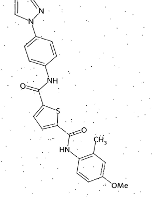 COc1ccc(NC(=O)c2ccc(C(=O)Nc3ccc(-n4cccn4)cc3)s2)c(C)c1